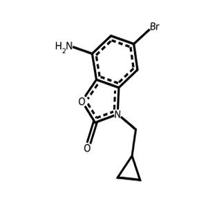 Nc1cc(Br)cc2c1oc(=O)n2CC1CC1